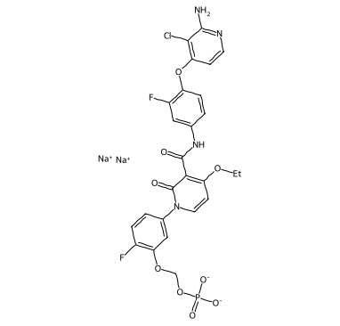 CCOc1ccn(-c2ccc(F)c(OCOP(=O)([O-])[O-])c2)c(=O)c1C(=O)Nc1ccc(Oc2ccnc(N)c2Cl)c(F)c1.[Na+].[Na+]